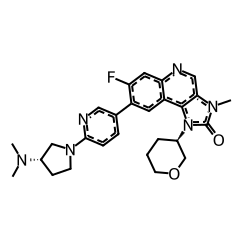 CN(C)[C@H]1CCN(c2ccc(-c3cc4c(cc3F)ncc3c4n([C@@H]4CCCOC4)c(=O)n3C)cn2)C1